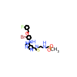 CS(=O)(=O)CCNCCc1nc(-c2cc3c(Nc4ccc(OCc5cccc(F)c5)c(Br)c4)ncnc3cn2)cs1